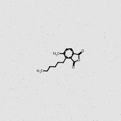 CCCCCCc1c(C)ccc2c1C(=O)OC2=O